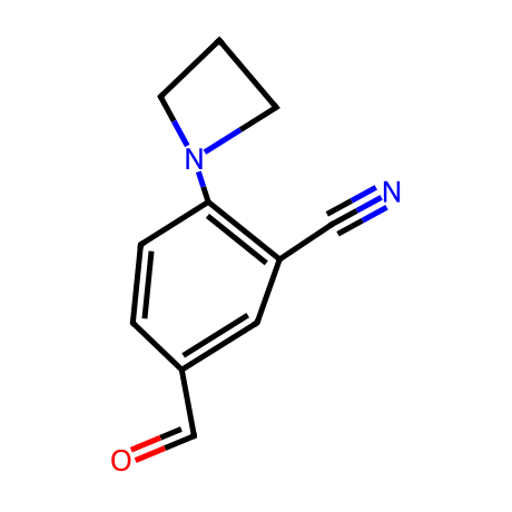 N#Cc1cc(C=O)ccc1N1CCC1